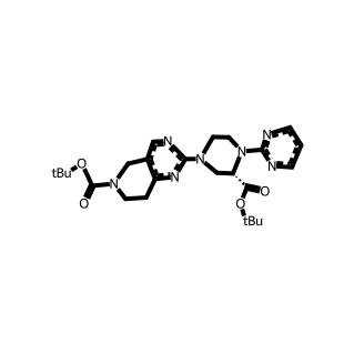 CC(C)(C)OC(=O)[C@@H]1CN(c2ncc3c(n2)CCN(C(=O)OC(C)(C)C)C3)CCN1c1ncccn1